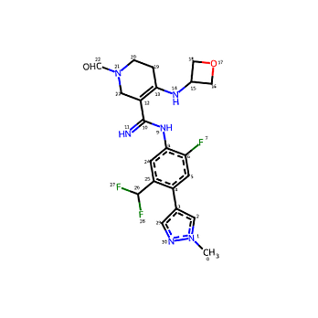 Cn1cc(-c2cc(F)c(NC(=N)C3=C(NC4COC4)CCN(C=O)C3)cc2C(F)F)cn1